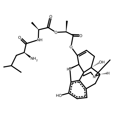 CC(C)C[C@H](N)C(=O)N[C@@H](C)C(=O)O[C@@H](C)C(=O)OC1=CC[C@@]2(O)[C@H]3Cc4ccc(O)c5c4[C@@]2(CCN3C)[C@H]1O5